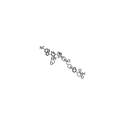 N#Cc1cnn2c(-c3cc(NC4CCOCC4)c(-c4nnc(N5CCN(C(=O)CC6CCN(c7ccc(C8CCC(=O)NC8=O)cn7)CC6)CC5)s4)cn3)ccc2c1